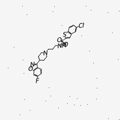 O=S(=O)(NCCCN1CCC(c2noc3cc(F)ccc23)CC1)c1cc2cc(Cl)ccc2s1